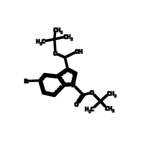 CC(C)(C)OC(=O)n1cc(C(O)OC(C)(C)C)c2cc(Br)ccc21